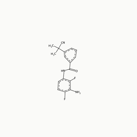 CC(C)(C#N)c1cccc(C(=O)Nc2ccc(F)c(N)c2F)c1